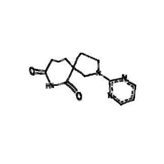 O=C1CCC2(CCN(c3ncccn3)C2)C(=O)N1